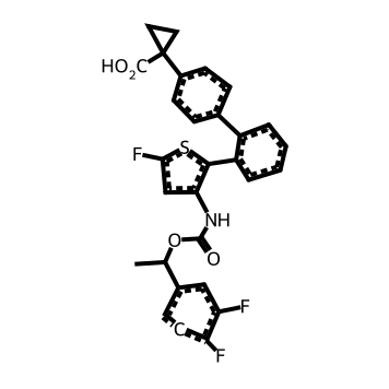 CC(OC(=O)Nc1cc(F)sc1-c1ccccc1-c1ccc(C2(C(=O)O)CC2)cc1)c1ccc(F)c(F)c1